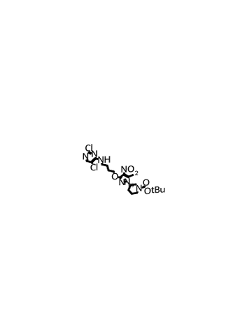 Cc1c([N+](=O)[O-])c(OCCCCNc2nc(Cl)ncc2Cl)nn1[C@@H]1CCCN(C(=O)OC(C)(C)C)C1